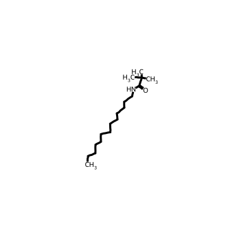 CCCCCCCCCCCCCNC(=O)C(C)(C)C